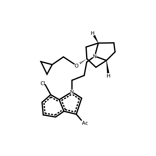 CC(=O)c1cn(CCCN2[C@@H]3CC[C@H]2C[C@@H](OCC2CC2)C3)c2c(Cl)cccc12